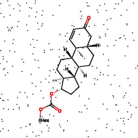 CCCCCCOC(=O)O[C@H]1CC[C@H]2[C@@H]3CC[C@H]4CC(=O)C=C[C@]4(C)[C@H]3CC[C@]12C